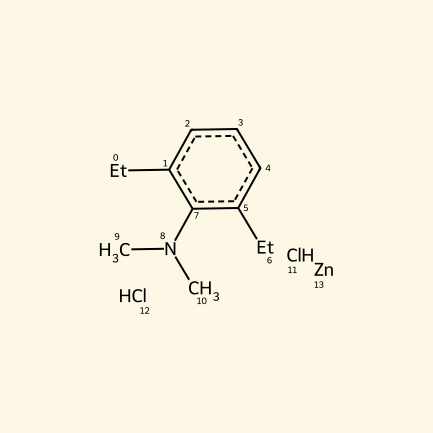 CCc1cccc(CC)c1N(C)C.Cl.Cl.[Zn]